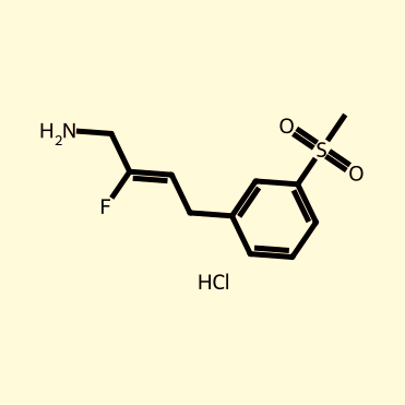 CS(=O)(=O)c1cccc(CC=C(F)CN)c1.Cl